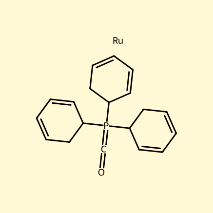 O=C=P(C1C=CC=CC1)(C1C=CC=CC1)C1C=CC=CC1.[Ru]